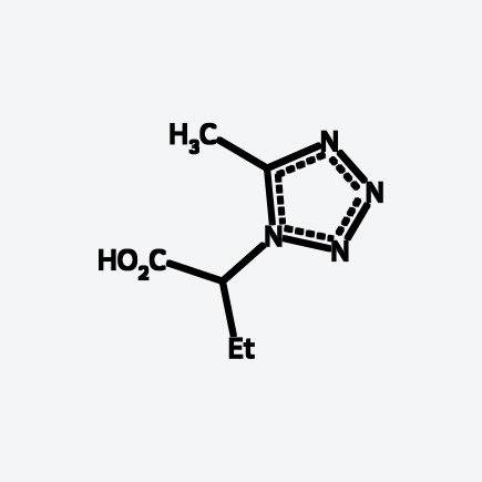 CCC(C(=O)O)n1nnnc1C